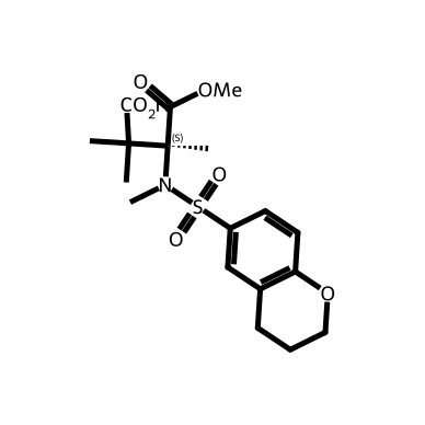 COC(=O)[C@@](C)(N(C)S(=O)(=O)c1ccc2c(c1)CCCO2)C(C)(C)C(=O)O